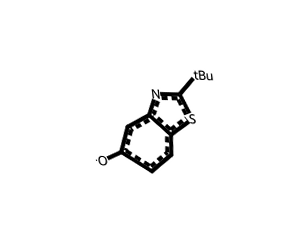 CC(C)(C)c1nc2cc([O])ccc2s1